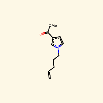 C=CCCCn1ccc(C(=O)OC)c1